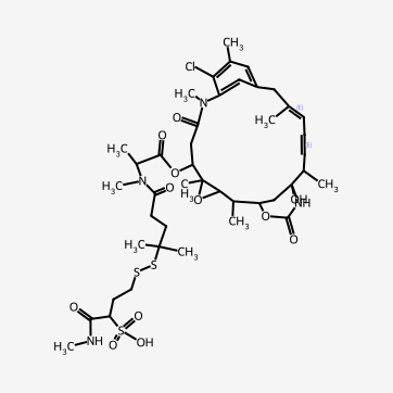 CNC(=O)C(CCSSC(C)(C)CCC(=O)N(C)C(C)C(=O)OC1CC(=O)N(C)c2cc(cc(C)c2Cl)C/C(C)=C/C=C/C(C)C2(O)CC(OC(=O)N2)C(C)C2OC12C)S(=O)(=O)O